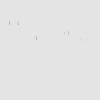 Cc1cccc([C@H]2[CH]CN(CCN)C[C@H]2C(=O)c2ccccc2)c1C